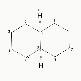 [CH]1CCC[C@H]2CCCC[C@@H]12